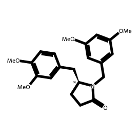 COc1cc(CN2C(=O)CC[C@H]2Cc2ccc(OC)c(OC)c2)cc(OC)c1